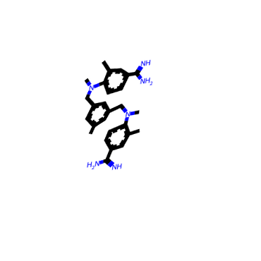 Cc1cc(CN(C)c2ccc(C(=N)N)cc2C)cc(CN(C)c2ccc(C(=N)N)cc2C)c1